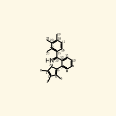 CC1=C(C)C(C)=C(c2ccccc2C(=N)c2ccc(C)c(C)c2C)C1